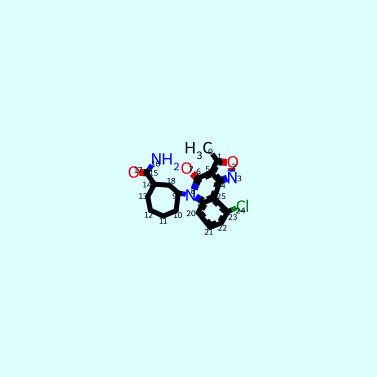 Cc1onc2c1c(=O)n(C1CCCCC(C(N)=O)C1)c1cccc(Cl)c21